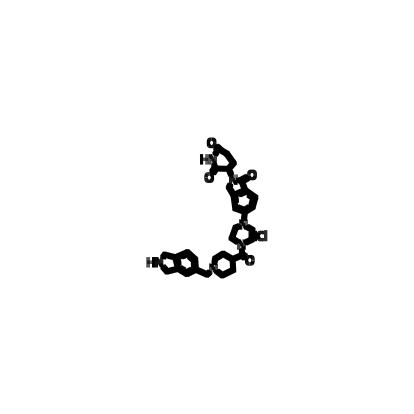 Cl.O=C1CCC(N2Cc3cc(N4CCN(C(=O)C5CCN(Cc6ccc7c(c6)CNC7)CC5)CC4)ccc3C2=O)C(=O)N1